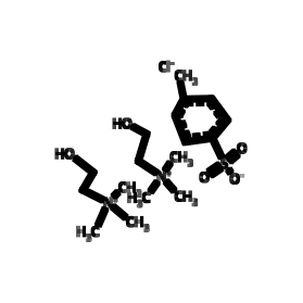 C[N+](C)(C)CCO.C[N+](C)(C)CCO.Cc1ccc(S(=O)(=O)[O-])cc1.[Cl-]